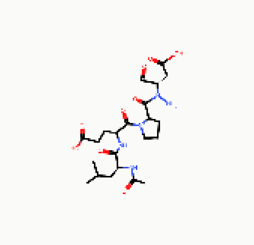 CC(=O)N[C@@H](CC(C)C)C(=O)N[C@@H](CCC(=O)O)C(=O)N1CCCC1C(=O)N(N)[C@H](C=O)CC(=O)O